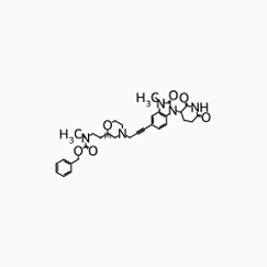 CN(CC[C@@H]1CN(CC#Cc2ccc3c(c2)n(C)c(=O)n3C2CCC(=O)NC2=O)CCO1)C(=O)OCc1ccccc1